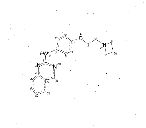 c1ccc2nc(Nc3ccc(OCCN4CCC4)cc3)ncc2c1